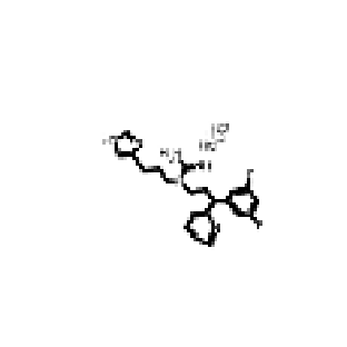 Cl.Cl.Cl.N=C(N)N(CCCc1c[nH]cn1)CCC(c1cc(F)cc(F)c1)c1ccccn1